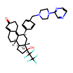 C[C@]12C[C@H](c3ccc(CN4CCN(c5cnccn5)CC4)cc3)C3=C4CCC(=O)C=C4CC[C@H]3[C@@H]1CC[C@@]2(O)C(F)(F)C(F)(F)F